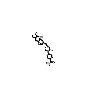 CCc1cc2ncc(CN3CCN(c4ccc(C(=O)NC)nc4)[C@H](C)C3)cc2[nH]c1=O